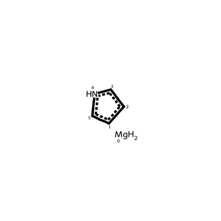 [MgH2].c1cc[nH]c1